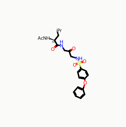 CC(=O)N[C@@H](CC(C)C)C(=O)NCC(=O)CNS(=O)(=O)c1ccc(Oc2ccccc2)cc1